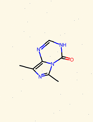 Cc1nc(C)n2c(=O)[nH]cnc12